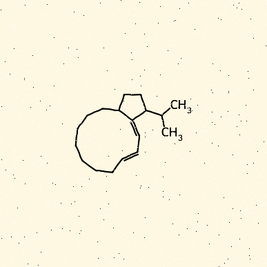 CC(C)C1CCC2CCCCCCC/C=C/C=C\21